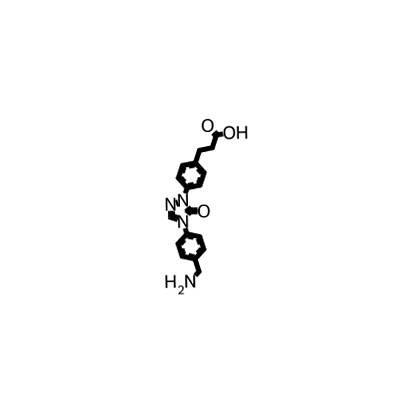 NCc1ccc(-n2cnn(-c3ccc(CCC(=O)O)cc3)c2=O)cc1